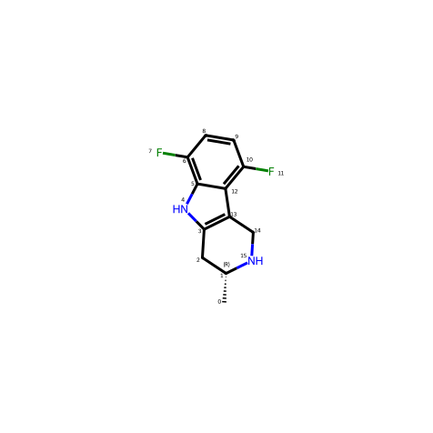 C[C@@H]1Cc2[nH]c3c(F)ccc(F)c3c2CN1